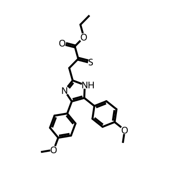 CCOC(=O)C(=S)Cc1nc(-c2ccc(OC)cc2)c(-c2ccc(OC)cc2)[nH]1